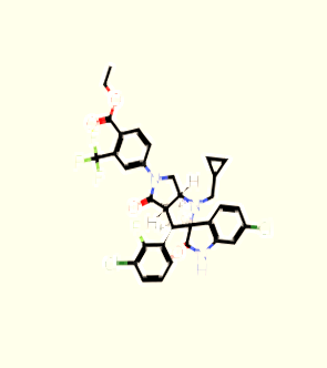 CCOC(=O)c1ccc(N2C[C@H]3[C@@H](C2=O)[C@H](c2cccc(Cl)c2F)[C@]2(C(=O)Nc4cc(Cl)ccc42)N3CC2CC2)cc1C(F)(F)F